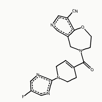 N#Cc1cncc2c1OCCN(C(=O)C1=CCN(c3ncc(F)cn3)CC1)C2